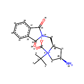 CC(C)(C)[N+]1(C(=O)[O-])C[C@H](N)C[C@@H]1CN1C(=O)c2ccccc2C1=O